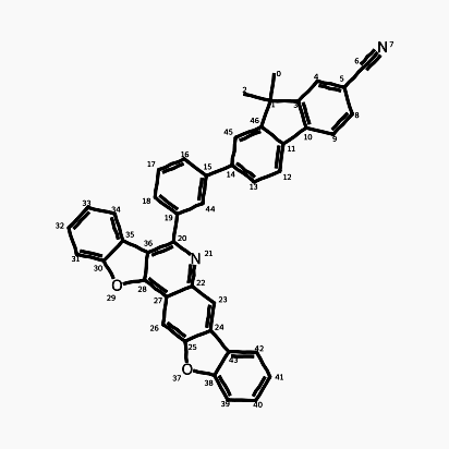 CC1(C)c2cc(C#N)ccc2-c2ccc(-c3cccc(-c4nc5cc6c(cc5c5oc7ccccc7c45)oc4ccccc46)c3)cc21